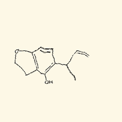 C=CC(C)c1ccc2c(c1O)CCO2